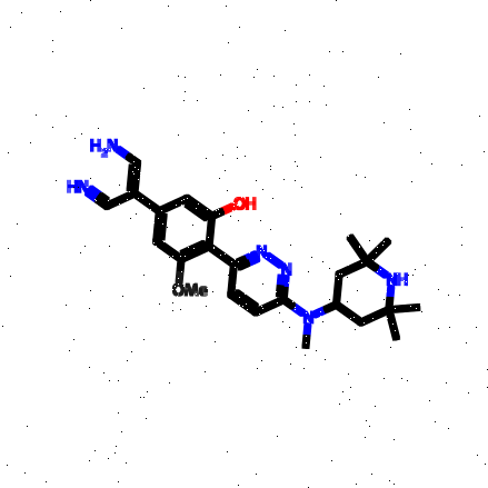 COc1cc(/C(C=N)=C/N)cc(O)c1-c1ccc(N(C)C2CC(C)(C)NC(C)(C)C2)nn1